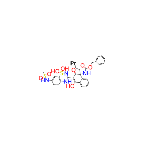 CC(C)CCC1(NC(=O)OCc2ccccc2)C(=O)C(C2=NS(O)(O)c3cc(NS(C)(=O)=O)ccc3N2)=C(O)c2ccccc21